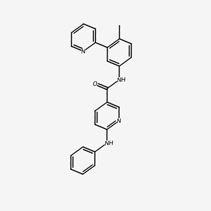 Cc1ccc(NC(=O)c2ccc(Nc3ccccc3)nc2)cc1-c1ccccn1